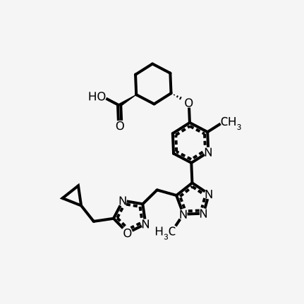 Cc1nc(-c2nnn(C)c2Cc2noc(CC3CC3)n2)ccc1O[C@H]1CCC[C@H](C(=O)O)C1